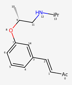 CC(=O)/C=C/c1cccc(O[C@H](C)CNC(C)C)c1